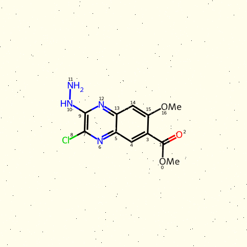 COC(=O)c1cc2nc(Cl)c(NN)nc2cc1OC